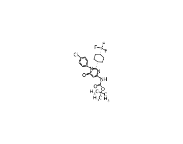 CC(C)(C)OC(=O)Nc1cc(=O)n(-c2ccc(Cl)cc2)c([C@H]2CC[C@@H](C(F)(F)F)CC2)n1